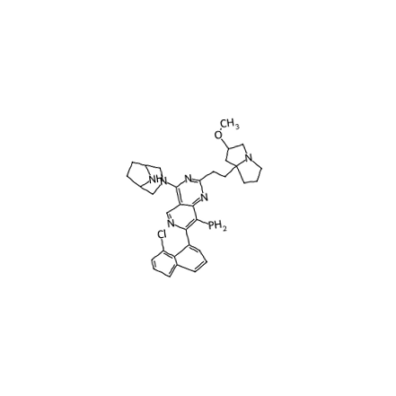 COC1CN2CCCC2(CCc2nc(N3CC4CCC(C3)N4)c3cnc(-c4cccc5cccc(Cl)c45)c(P)c3n2)C1